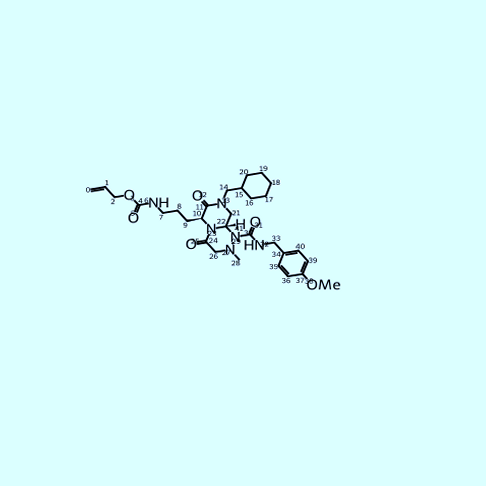 C=CCOC(=O)NCCC[C@H]1C(=O)N(CC2CCCCC2)C[C@H]2N1C(=O)CN(C)N2C(=O)NCc1ccc(OC)cc1